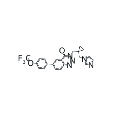 O=c1c2cc(-c3ccc(OC(F)(F)F)cc3)ccc2nnn1CC1(Cn2ccnc2)CC1